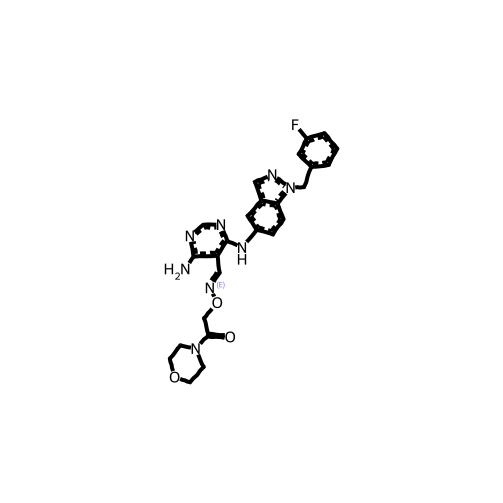 Nc1ncnc(Nc2ccc3c(cnn3Cc3cccc(F)c3)c2)c1/C=N/OCC(=O)N1CCOCC1